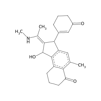 CN/C(C)=C1\C(O)c2c(cc(C)c3c2CCCC3=O)C1C1=CC(=O)CCC1